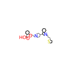 O=C(O)c1ccccc1OCCN1CCC(c2cn(CCCc3cccs3)c3ccccc23)CC1